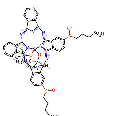 C[Si](C)(C)O[Si]1(O[Si](C)(C)C)n2c3c4ccccc4c2/N=C2N=C(/N=c4/c5cc([S+]([O-])CCCS(=O)(=O)O)ccc5/c(n41)=N/C1=NC(=N\3)/c3ccc([S+]([O-])CCCS(=O)(=O)O)cc31)c1ccccc1\2